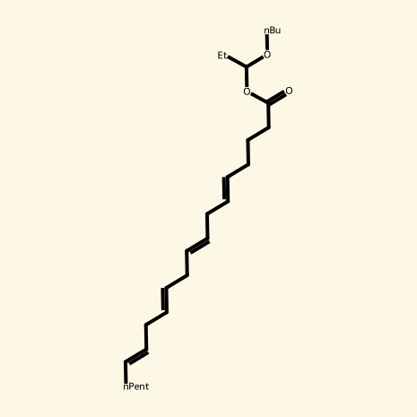 CCCCCC=CCC=CCC=CCC=CCCCC(=O)OC(CC)OCCCC